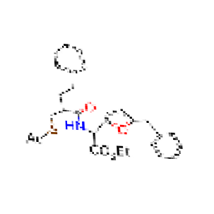 CCOC(=O)C(NC(=O)C(CCc1ccccc1)CSC(C)=O)c1ccc(Cc2ccccc2)o1